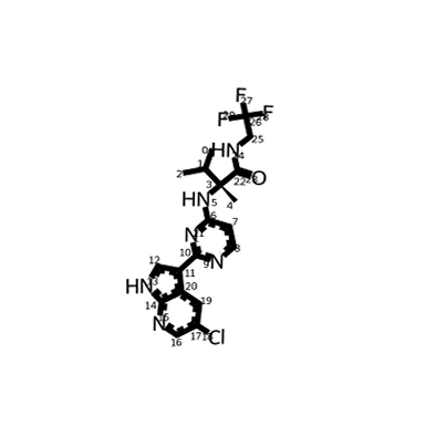 CC(C)[C@@](C)(Nc1ccnc(-c2c[nH]c3ncc(Cl)cc23)n1)C(=O)NCC(F)(F)F